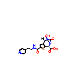 O=C(NCCc1ccncc1)c1cc2c(s1)[C@@H](C(=O)O)N1C[C@@H]2N(O)C1=O